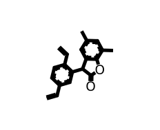 C=Cc1ccc(C=C)c(C2C(=O)Oc3c(C)cc(C)cc32)c1